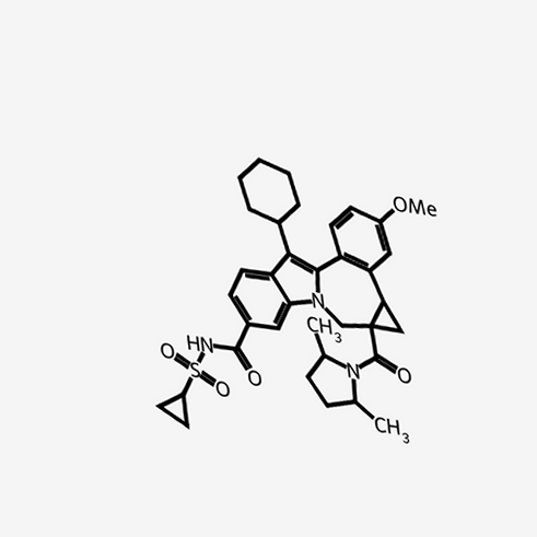 COc1ccc2c(c1)C1CC1(C(=O)N1C(C)CCC1C)Cn1c-2c(C2CCCCC2)c2ccc(C(=O)NS(=O)(=O)C3CC3)cc21